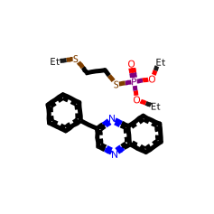 CCOP(=O)(OCC)SCCSCC.c1ccc(-c2cnc3ccccc3n2)cc1